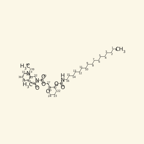 CCCCCCCCCCCCCCCCCNC(=O)O[C@@H]1CCCO[C@H]1COC(=O)N(Cc1cccc[n+]1CC)C(C)=O